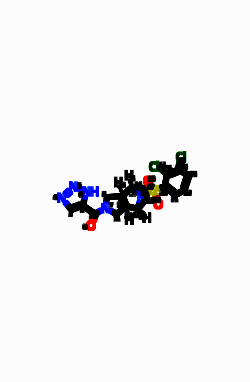 O=C(c1cnn[nH]1)N1C[C@@H]2[C@H](C1)[C@H]1CC[C@@H]2N1S(=O)(=O)c1cccc(Cl)c1Cl